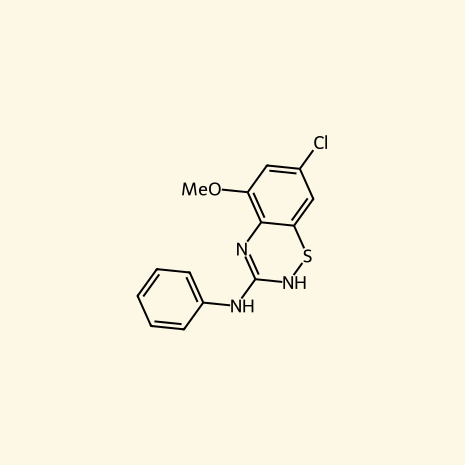 COc1cc(Cl)cc2c1N=C(Nc1ccccc1)NS2